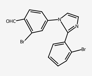 O=Cc1ccc(-n2ccnc2-c2ccccc2Br)cc1Br